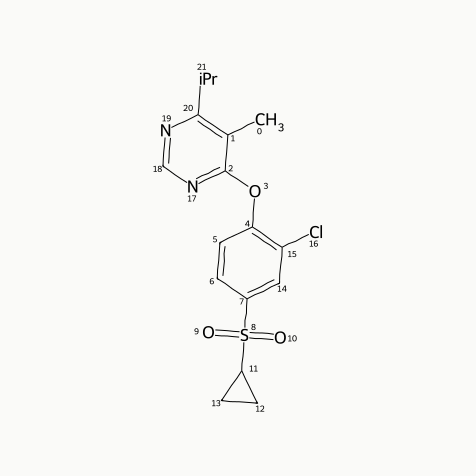 Cc1c(Oc2ccc(S(=O)(=O)C3CC3)cc2Cl)ncnc1C(C)C